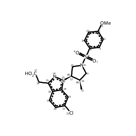 COc1ccc(S(=O)(=O)N2C[C@@H](C)[C@@H](n3nc(CC(=O)O)c4ccc(Cl)cc43)C2)cc1